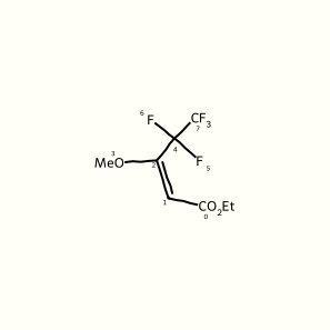 CCOC(=O)C=C(OC)C(F)(F)C(F)(F)F